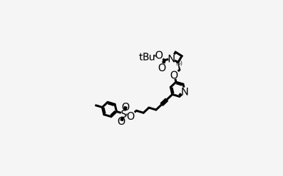 Cc1ccc(S(=O)(=O)OCCCCC#Cc2cncc(OC[C@@H]3CCN3C(=O)OC(C)(C)C)c2)cc1